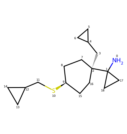 NC1([C@]2(CC3CC3)CC[C@H](SCC3CC3)CC2)CC1